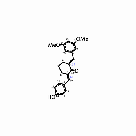 COc1cc(/C=C2\CCC/C(=C\c3ccc(O)cc3)C2=O)cc(OC)c1